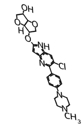 CN1CCN(c2ccc(-c3nc4cc(O[C@@H]5COC6[C@H](O)CO[C@@H]65)[nH]c4cc3Cl)cc2)CC1